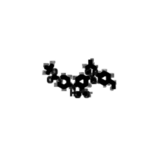 CCc1ccc(N(CC(C)C)S(=O)(=O)c2ccc(NC3CCN(C(=O)OC(C)(C)C)CC3)c([N+](=O)[O-])c2)cc1